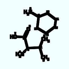 CC(C)[C@H](N)C(=O)O.NC1CCCCC1